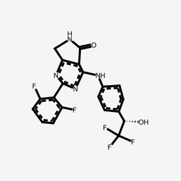 O=C1NCc2nc(-c3c(F)cccc3F)nc(Nc3ccc([C@H](O)C(F)(F)F)cc3)c21